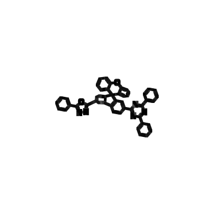 c1ccc(-c2nc(-c3ccccc3)nc(-c3ccc4c(c3)C3(c5ccccc5Oc5ccccc53)c3ccc(-c5nnc(-c6ccccc6)o5)cc3-4)n2)cc1